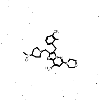 Cc1c(Cc2c(CN3CCC([S+](C)[O-])CC3)nc3c(N)cc(N4CCOCC4)nn23)cccc1C(F)(F)F